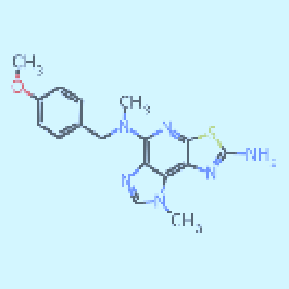 COc1ccc(CN(C)c2nc3sc(N)nc3c3c2ncn3C)cc1